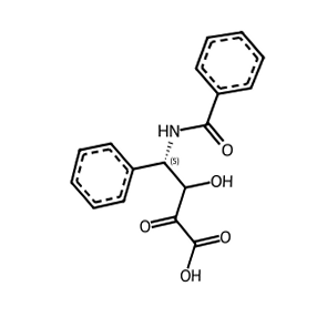 O=C(O)C(=O)C(O)[C@@H](NC(=O)c1ccccc1)c1ccccc1